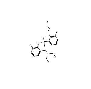 CCN(CC)Cc1cccc(C)c1PC(C)(C)c1cccc(C)c1OCOC